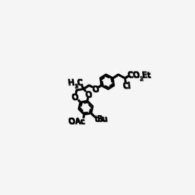 CCOC(=O)C(Cl)Cc1ccc(OCC2(C)COc3cc(OC(C)=O)c(C(C)(C)C)cc3O2)cc1